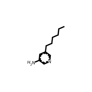 CCCCCCc1cncc(N)c1